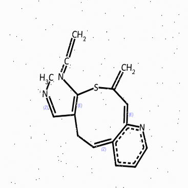 C=C=N/C1=C(\C=N/C)C/C=c2/cccn/c2=C/C(=C)S1